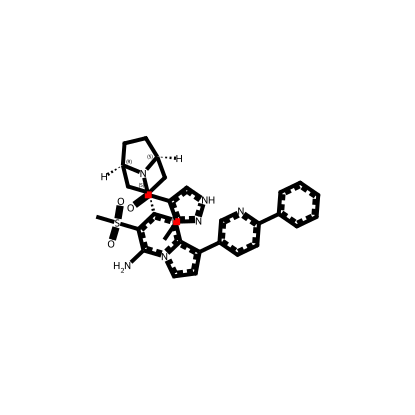 Cc1n[nH]cc1C(=O)N1[C@@H]2CC[C@H]1C[C@H](c1nc3c(-c4ccc(-c5ccccc5)nc4)ccn3c(N)c1S(C)(=O)=O)C2